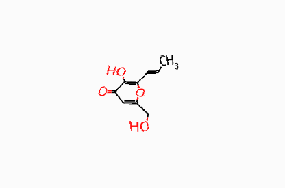 C/C=C/c1oc(CO)cc(=O)c1O